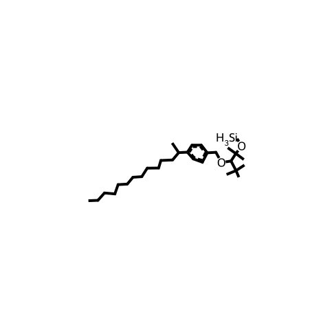 CCCCCCCCCCCCC(C)c1ccc(COC(C(C)(C)C)C(C)(C)O[SiH3])cc1